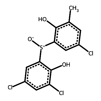 Cc1cc(Cl)cc([S+]([O-])c2cc(Cl)cc(Cl)c2O)c1O